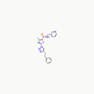 Cc1nc(-n2cc(CCc3ccccc3)nn2)sc1C(=O)NCc1cccnc1